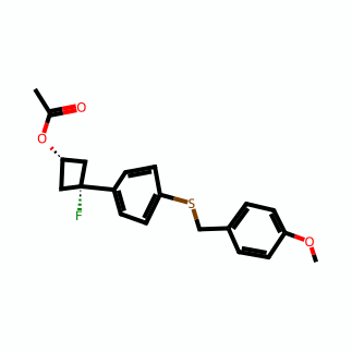 COc1ccc(CSc2ccc([C@]3(F)C[C@@H](OC(C)=O)C3)cc2)cc1